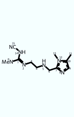 CN/C(=N/CCNCc1ncc(C)n1C)NC#N